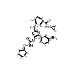 Cc1ccc(C(=O)NC2CC2)cc1Nc1nc(-c2cccc(N)c2)c(OC(=O)NCc2ccccc2)s1